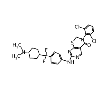 CN(C)C1CCC(C(F)(F)c2ccc(Nc3ncc4c(n3)SCN(c3c(Cl)cccc3Cl)C4=O)cc2)CC1